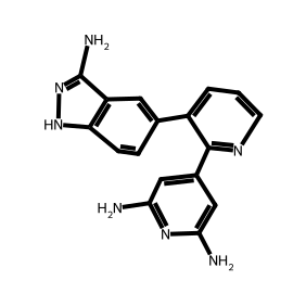 Nc1cc(-c2ncccc2-c2ccc3[nH]nc(N)c3c2)cc(N)n1